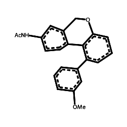 COc1cccc(-c2cccc3c2-c2ccc(NC(C)=O)cc2CO3)c1